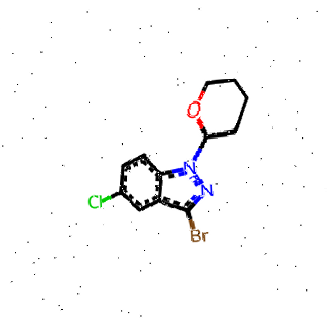 Clc1ccc2c(c1)c(Br)nn2C1CCCCO1